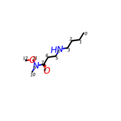 CCCCNCCC(=O)N(C)OC